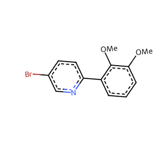 COc1cccc(-c2ccc(Br)cn2)c1OC